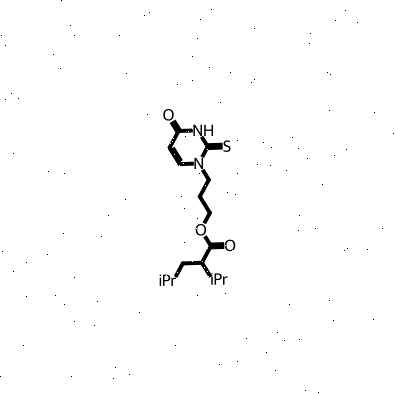 CC(C)CC(C(=O)OCCCn1ccc(=O)[nH]c1=S)C(C)C